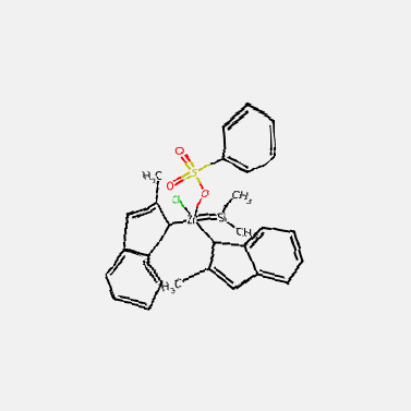 CC1=Cc2ccccc2[CH]1[Zr]([Cl])([O]S(=O)(=O)c1ccccc1)([CH]1C(C)=Cc2ccccc21)=[Si](C)C